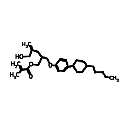 C=C(CO)CC(COC(=O)C(=C)C)COc1ccc(C2CCC(CCCCC)CC2)cc1